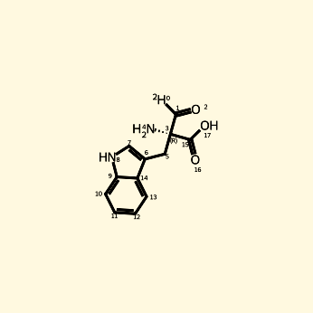 [2H]C(=O)[C@](N)(Cc1c[nH]c2ccccc12)C(=O)O